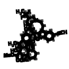 C#Cc1ccc2[nH]c3c(c2c1)CCN1CC(C(C)(F)F)C[C@@H](C1)C[C@]3(C(=O)OC)c1cc2c(cc1OC)N(C)[C@H]1[C@@](O)(C(=O)OC)[C@H](OC(C)=O)[C@]3(CC)C=CCN4CC[C@]21[C@@H]43